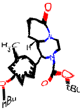 CCCCOc1ccc([C@H]2[C@@H]3CCC(=O)N3CCN2C(=O)OC(C)(C)C)c(C)c1